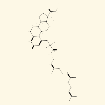 CC(C)=CCCC(C)=CCCC(C)=CCOC(=O)C(C)(C)CC1=CC(=O)C=C2CC[C@@H]3[C@H]([C@@H](O)C[C@@]4(C)[C@H]3CC[C@]4(O)C(=O)CO)[C@]21C